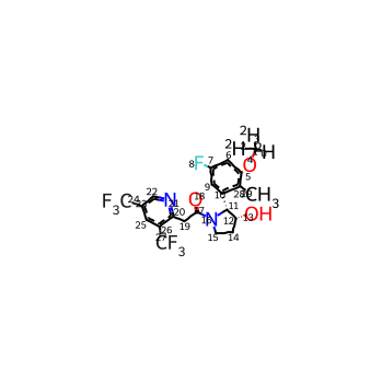 [2H]C([2H])([2H])Oc1cc(F)cc([C@@H]2[C@H](O)CCN2C(=O)Cc2ncc(C(F)(F)F)cc2C(F)(F)F)c1C